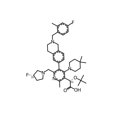 Cc1cc(F)ccc1CN1CCc2cc(-c3c(CN4CC[C@H](F)C4)nc(C)c([C@H](OC(C)(C)C)C(=O)O)c3N3CCC(C)(C)CC3)ccc2C1